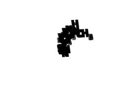 CNc1cc2cc(-c3nncs3)ccc2cn1